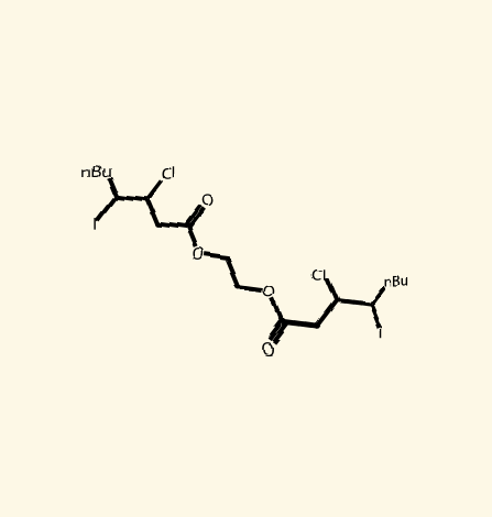 CCCCC(I)C(Cl)CC(=O)OCCOC(=O)CC(Cl)C(I)CCCC